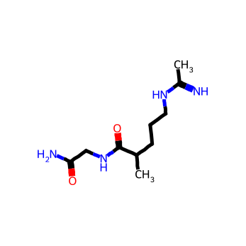 CC(=N)NCCCC(C)C(=O)NCC(N)=O